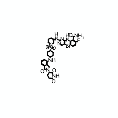 NC(=O)c1c(F)cccc1Nc1nc(N[C@@H]2CCCN(S(=O)(=O)C3CCC(Nc4cccc5c4CN(C4CCC(=O)NC4=O)C5=O)CC3)C2)ncc1Br